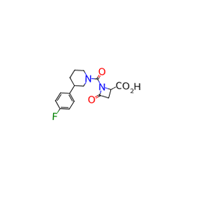 O=C(O)C1CC(=O)N1C(=O)N1CCCC(c2ccc(F)cc2)C1